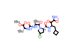 CC(C)(C)OC(=O)[C@H](NC(=O)N[C@H](C(=O)N1C[C@H](Cl)C[C@H]1C(=O)NC(CC1CCC1)C(=O)C(N)=O)C(C)(C)C)C(C)(C)C